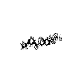 CNS(=O)(=O)c1ccc(CNC(=O)c2cncc(-c3cccs3)c2)c(Cl)c1